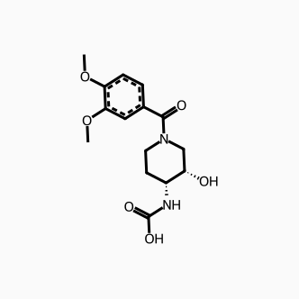 COc1ccc(C(=O)N2CC[C@@H](NC(=O)O)[C@@H](O)C2)cc1OC